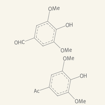 COc1cc(C(C)=O)cc(OC)c1O.COc1cc(C=O)cc(OC)c1O